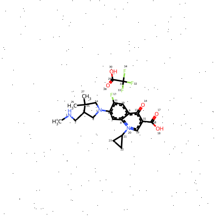 CNCC1CN(c2cc3c(cc2F)c(=O)c(C(=O)O)cn3C2CC2)CC1(C)C.O=C(O)C(F)(F)F